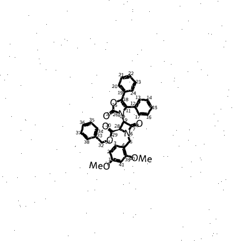 COc1ccc(CN2C(=O)[C@H](n3c(-c4ccccc4)c(-c4ccccc4)oc3=O)[C@@H]2C(=O)OCc2ccccc2)c(OC)c1